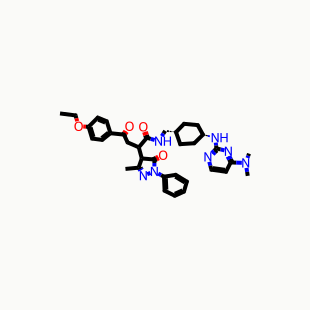 CCOc1ccc(C(=O)CC(C(=O)NC[C@H]2CC[C@@H](Nc3nccc(N(C)C)n3)CC2)C2C(=O)N(c3ccccc3)N=C2C)cc1